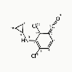 O=C=C1C=CC(Cl)=C(NC2CC2)C1Cl